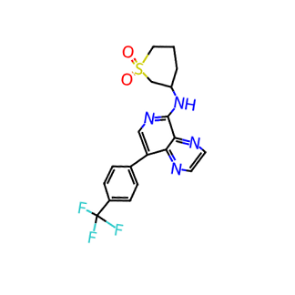 O=S1(=O)CCCC(Nc2ncc(-c3ccc(C(F)(F)F)cc3)c3nccnc23)C1